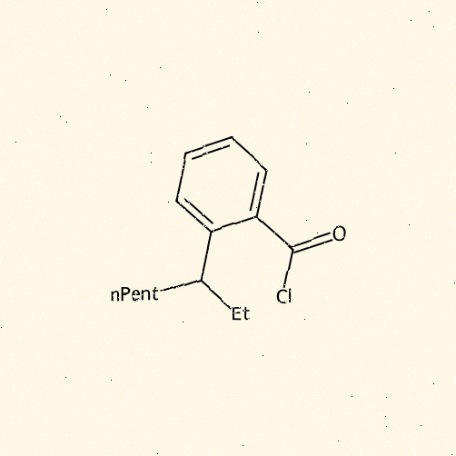 CCCCCC(CC)c1ccccc1C(=O)Cl